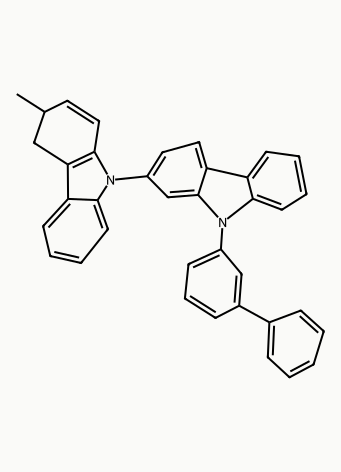 CC1C=Cc2c(c3ccccc3n2-c2ccc3c4ccccc4n(-c4cccc(-c5ccccc5)c4)c3c2)C1